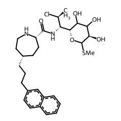 CSC1O[C@H]([C@H](NC(=O)[C@@H]2CC[C@H](CCCc3ccc4ccccc4c3)CCN2)[C@H](C)Cl)C(O)C(O)[C@H]1O